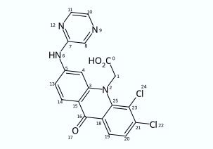 O=C(O)Cn1c2cc(Nc3cnccn3)ccc2c(=O)c2ccc(Cl)c(Cl)c21